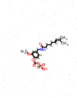 COc1cc(CNC(=O)CCCC/C=C/C(C)C)ccc1OC(=O)OS(=O)(=O)O